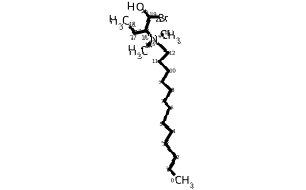 CCCCCCCCCCCCC[N+](C)(C)C(CC)C(O)Br